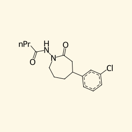 CCCC(=O)NN1CCCC(c2cccc(Cl)c2)CC1=O